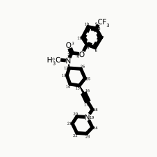 CN(C(=O)Oc1ccc(C(F)(F)F)cc1)[C@H]1CC[C@H](C#CCN2CCCCC2)CC1